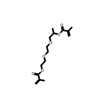 C=C(C)C(=O)OCCOCCOCC(C)OC(=O)C(=C)C